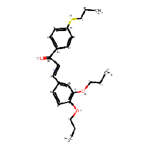 CCCOc1ccc(/C=C/C(=O)c2ccc(SCCC)cc2)cc1OCCC